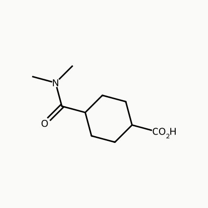 CN(C)C(=O)C1CCC(C(=O)O)CC1